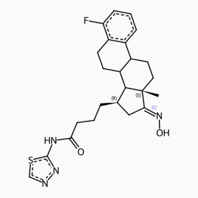 C[C@]12CCC3c4cccc(F)c4CCC3C1[C@H](CCCC(=O)Nc1nncs1)C/C2=N\O